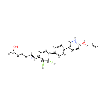 C=CCOc1ccc(-c2ccc(-c3ccc(/C=C/CCCC(C)O)c(F)c3F)cc2)cn1